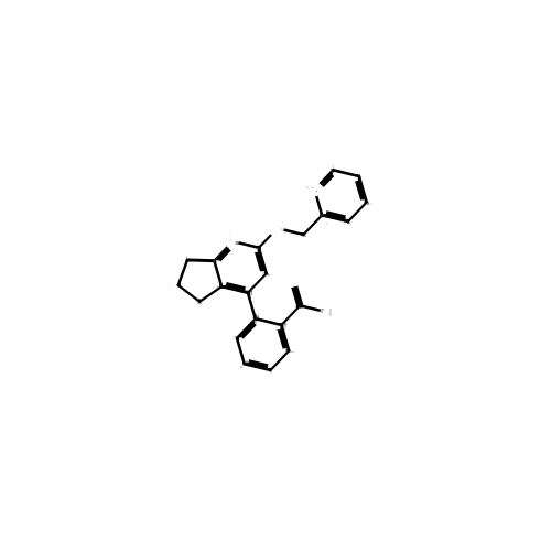 NC(=O)c1ccccc1-c1cc(OCc2ccccn2)nc2c1CCC2